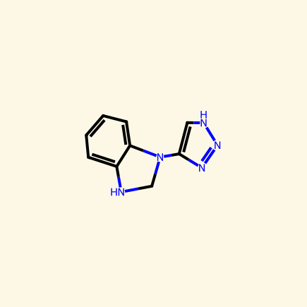 c1ccc2c(c1)NCN2c1c[nH]nn1